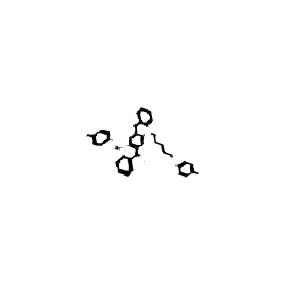 Cc1ccc(OCCCCCn2c3ccccc3c(=O)c3cc4c(cc32)c(=O)c2ccccc2n4COc2ccc(C)cc2)cc1